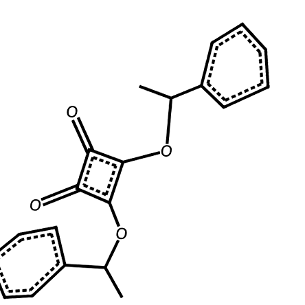 CC(Oc1c(OC(C)c2ccccc2)c(=O)c1=O)c1ccccc1